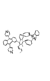 C/C=C\C=C/c1c(C)c(-c2cccc(-c3nc4ccccc4n3-c3ccccc3)c2)c2ccccc2c1-c1ccc2c(-c3ccncc3)c3ccccc3c(-c3ccncc3)c2c1